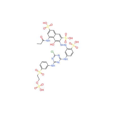 CCC(=O)Nc1cc(S(=O)(=O)O)cc2cc(S(=O)(=O)O)c(/N=N/c3cc(Nc4nc(Cl)nc(Nc5cccc(S(=O)(=O)CCOS(=O)(=O)O)c5)n4)ccc3S(=O)(=O)O)c(O)c12